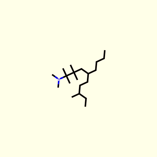 CCCCC(CCC(C)CC)CC(C)(C)C(C)(C)N(C)C